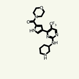 O=C(c1cc(-c2nc(NC3CCCNC3)ncc2C(F)(F)F)c[nH]1)N1CCOCC1